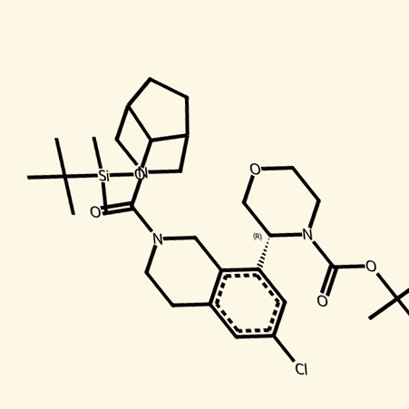 CC(C)(C)OC(=O)N1CCOC[C@H]1c1cc(Cl)cc2c1CN(C(=O)N1CC3CCC(C1)C3O[Si](C)(C)C(C)(C)C)CC2